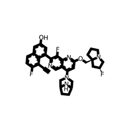 C#Cc1c(F)ccc2cc(O)cc(-c3ncc4c(N5CC6CCC(C5)N6)cc(OC[C@@]56CCCN5C[C@H](F)C6)nc4c3F)c12